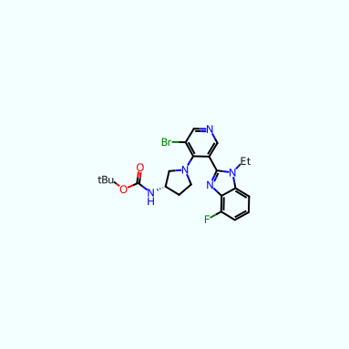 CCn1c(-c2cncc(Br)c2N2CC[C@H](NC(=O)OC(C)(C)C)C2)nc2c(F)cccc21